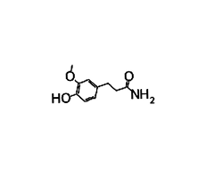 COc1cc(CCC(N)=O)ccc1O